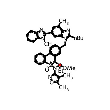 CCCCc1nc2c(C)cc(-c3nc4ccccc4n3C)cc2n1Cc1ccc(-c2ccccc2S(=O)(=O)N(COC)c2noc(C)c2C)c(COCC)c1